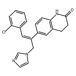 O=C1CCc2cc(/C(=C\c3ccccc3Cl)Cn3ccnc3)ccc2N1